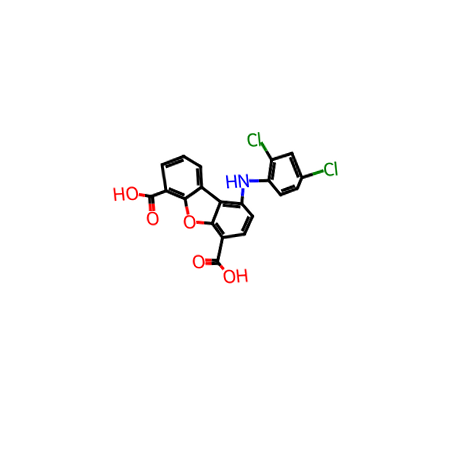 O=C(O)c1cccc2c1oc1c(C(=O)O)ccc(Nc3ccc(Cl)cc3Cl)c12